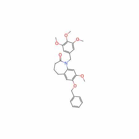 COc1cc2c(cc1OCc1ccccc1)CCCC(=O)N2Cc1cc(OC)c(OC)c(OC)c1